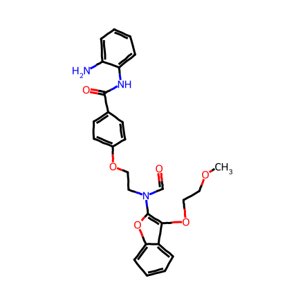 COCCOc1c(N(C=O)CCOc2ccc(C(=O)Nc3ccccc3N)cc2)oc2ccccc12